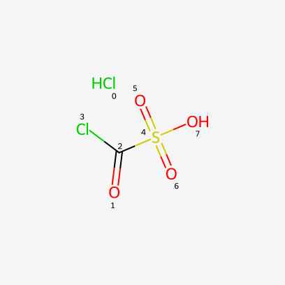 Cl.O=C(Cl)S(=O)(=O)O